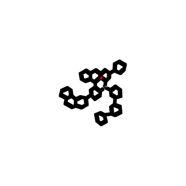 c1ccc(-c2cccc(-c3cccc(N(c4cccc(-c5ccccc5)c4)c4ccc(-c5ccc6ccc7ccccc7c6c5)cc4-c4cccc5ccccc45)c3)c2)cc1